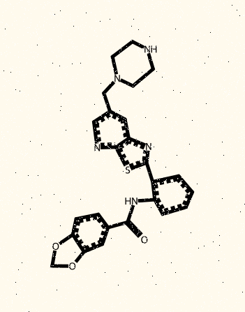 O=C(Nc1ccccc1-c1nc2cc(CN3CCNCC3)cnc2s1)c1ccc2c(c1)OCO2